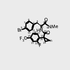 CNC(=O)[C@H](Cc1ccc(Br)cc1)NC(=O)C1(c2ccc(C(F)(F)F)cc2F)CC1